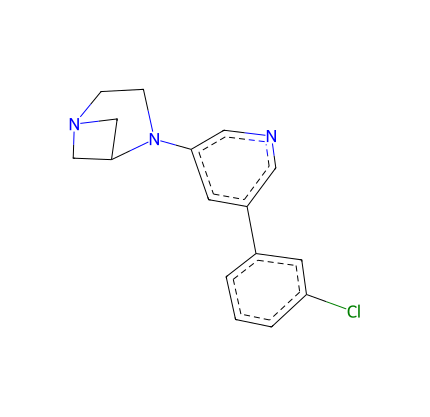 Clc1cccc(-c2cncc(N3CCN4CC3C4)c2)c1